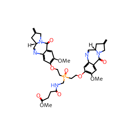 C=C1C[C@H]2C=Nc3cc(OCCP(=O)(CCOc4cc5c(cc4OC)C(=O)N4CC(=C)C[C@H]4C=N5)CNC(=O)CCC(=O)OC)c(OC)cc3C(=O)N2C1